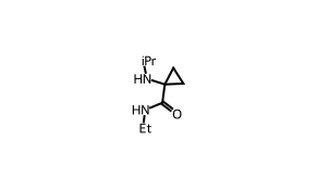 CCNC(=O)C1(NC(C)C)CC1